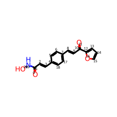 O=C(C=Cc1ccc(C=CC(=O)c2ccco2)cc1)NO